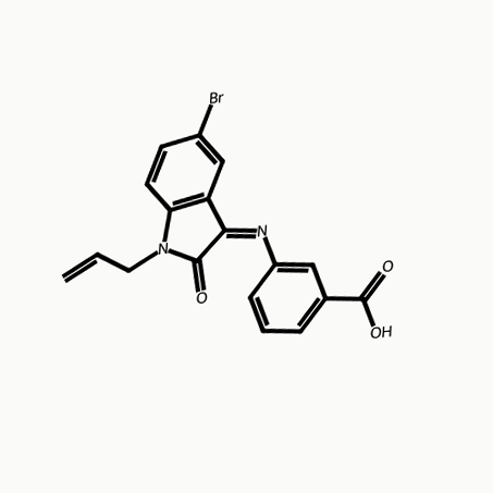 C=CCN1C(=O)/C(=N\c2cccc(C(=O)O)c2)c2cc(Br)ccc21